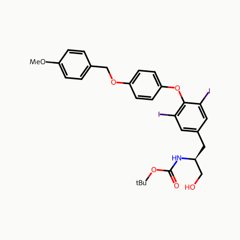 COc1ccc(COc2ccc(Oc3c(I)cc(C[C@@H](CO)NC(=O)OC(C)(C)C)cc3I)cc2)cc1